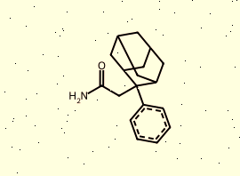 NC(=O)CC1(c2ccccc2)C2CC3CC(C2)CC1C3